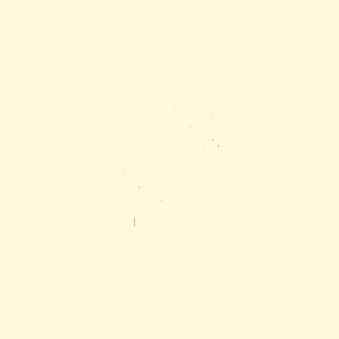 C=Cc1ccc(OCc2c(-c3c(F)cccc3F)noc2C2CC2)cc1Cl